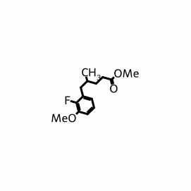 COC(=O)CCC(C)Cc1cccc(OC)c1F